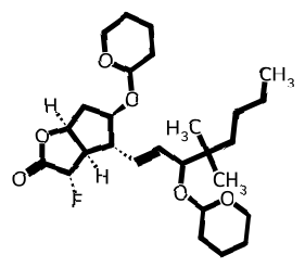 CCCCC(C)(C)C(/C=C/[C@@H]1[C@@H]2[C@H](C[C@H]1OC1CCCCO1)OC(=O)[C@H]2F)OC1CCCCO1